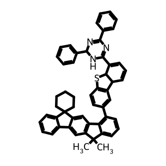 CC1(C)c2cc3c(cc2-c2c(-c4ccc5c(c4)C4C=CC=C(C6=NC(c7ccccc7)=NC(c7ccccc7)N6)C4S5)cccc21)C1(CCCCC1)c1ccccc1-3